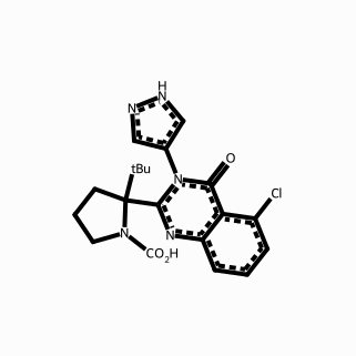 CC(C)(C)C1(c2nc3cccc(Cl)c3c(=O)n2-c2cn[nH]c2)CCCN1C(=O)O